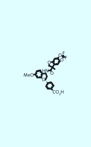 COc1ccc2c(c1)O[C@@H](c1ccc(C(=O)O)cc1)C[C@H]2NC(=O)C1(C)COc2cc3c(cc21)OC(F)(F)O3